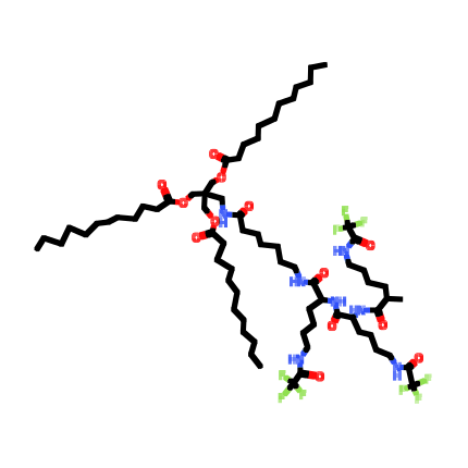 CCCCCCCCCCCC(=O)OCC(CNC(=O)CCCCCCNC(=O)C(CCCCNC(=O)C(F)(F)F)NC(=O)C(CCCCNC(=O)C(F)(F)F)NC(=O)C(C)CCCCNC(=O)C(F)(F)F)(COC(=O)CCCCCCCCCCC)COC(=O)CCCCCCCCCCC